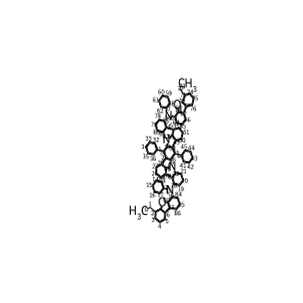 CCc1cccc2c1oc1c(N(c3ccccc3)c3cccc4c3c3cccc5c6c(-c7ccccc7)c7c(c(-c8ccccc8)c6n4c35)c3cccc4c5c(N(c6ccccc6)c6cccc8c6oc6c(CC)cccc68)cccc5n7c43)cccc12